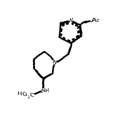 CC(=O)c1cc(CN2CCCC(NC(=O)O)C2)ccn1